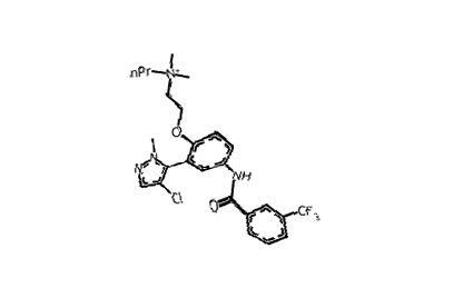 CCC[N+](C)(C)CCOc1ccc(NC(=O)c2cccc(C(F)(F)F)c2)cc1-c1c(Cl)cnn1C